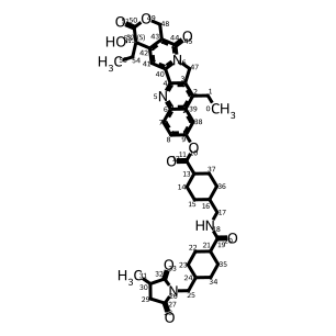 CCc1c2c(nc3ccc(OC(=O)C4CCC(CNC(=O)C5CCC(CN6C(=O)CC(C)C6=O)CC5)CC4)cc13)-c1cc3c(c(=O)n1C2)COC(=O)[C@]3(O)CC